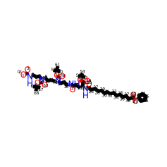 COC(=O)NCCCN(CCCCN(CCCNC(=O)CC[C@H](NC(=O)CCCCCCCCCCCCCC(=O)Oc1ccccc1)C(=O)OC(C)(C)C)C(=O)OC(C)(C)C)C(=O)OC(C)(C)C